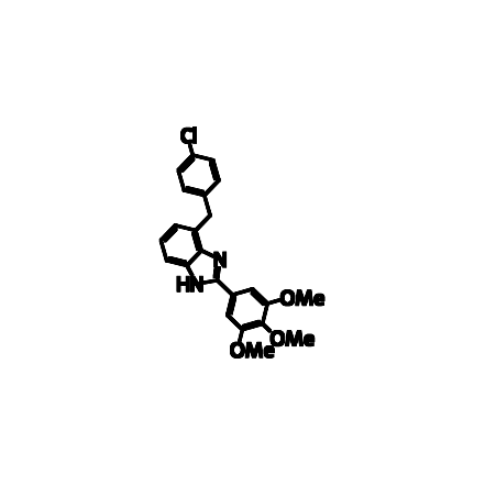 COc1cc(-c2nc3c(Cc4ccc(Cl)cc4)cccc3[nH]2)cc(OC)c1OC